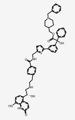 O=C(NCc1ccc(-c2cccc([C@](O)(C(=O)OCC3CCN(Cc4ccccc4)CC3)c3ccccc3)c2)s1)c1ccc(CCNC[C@H](O)c2ccc(O)c3[nH]c(=O)ccc23)cc1